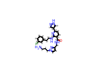 NCCCn1ccc(CNC(=O)c2ccc(-c3cn[nH]c3)nc2NCCc2cccc(F)c2)n1